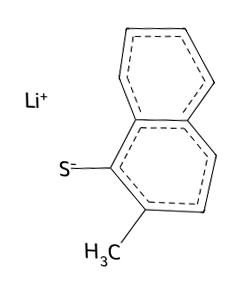 Cc1ccc2ccccc2c1[S-].[Li+]